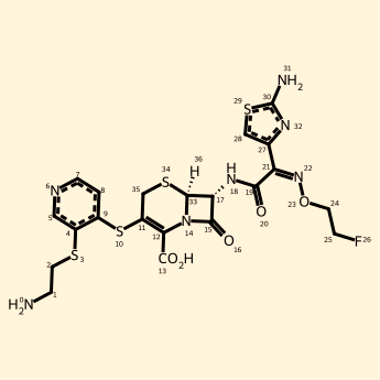 NCCSc1cnccc1SC1=C(C(=O)O)N2C(=O)[C@@H](NC(=O)/C(=N\OCCF)c3csc(N)n3)[C@@H]2SC1